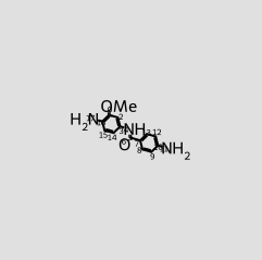 COc1cc(NC(=O)c2ccc(N)cc2)ccc1N